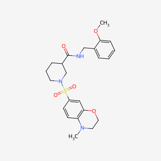 COc1ccccc1CNC(=O)C1CCCN(S(=O)(=O)c2ccc3c(c2)OCCN3C)C1